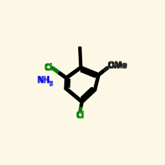 COc1cc(Cl)cc(Cl)c1C.N